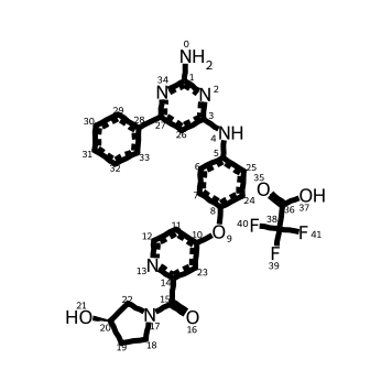 Nc1nc(Nc2ccc(Oc3ccnc(C(=O)N4CC[C@@H](O)C4)c3)cc2)cc(-c2ccccc2)n1.O=C(O)C(F)(F)F